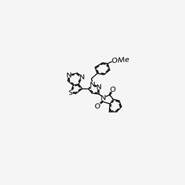 COc1ccc(Cn2nc(N3C(=O)c4ccccc4C3=O)cc2-c2csc3cncnc23)cc1